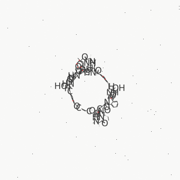 CC[C@H](NC(=O)[C@H](C)NC)C(=O)N1C[C@@H]2CC1C(=O)N1Cc3ccccc3C[C@H]1C(=O)N[C@H](C(=O)O)Cc1ccc(cc1)C(=O)N[C@H]1C[C@@H](C(=O)N[C@@H](Cc3ccc4ccccc4c3)C(=O)N[C@H](C(=O)O)Cc3ccc(cc3)OC/C=C/CO2)N(C(=O)[C@@H](NC(=O)[C@H](C)NC)C(C)(C)C)C1